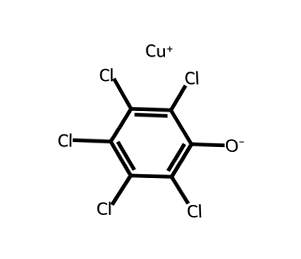 [Cu+].[O-]c1c(Cl)c(Cl)c(Cl)c(Cl)c1Cl